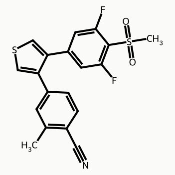 Cc1cc(-c2cscc2-c2cc(F)c(S(C)(=O)=O)c(F)c2)ccc1C#N